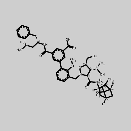 COc1c(CN2O[C@@H](CO)[C@H]([C@H](C)O)[C@H]2C(=O)N[C@H]2C[C@H]3C[C@@H]([C@@H]2C)C3(C)C)cccc1-c1cc(C(=O)O)cc(C(=O)N[C@@H](Cc2ccccc2)CN(C)C)c1